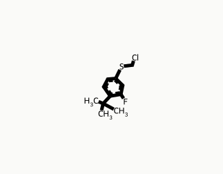 CC(C)(C)c1ccc(SCCl)cc1F